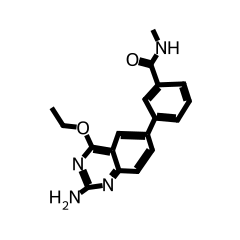 CCOc1nc(N)nc2ccc(-c3cccc(C(=O)NC)c3)cc12